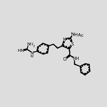 CC(=O)Nc1nc(CCc2ccc(NC(=N)N)cc2)c(C(=O)NCc2ccccc2)s1